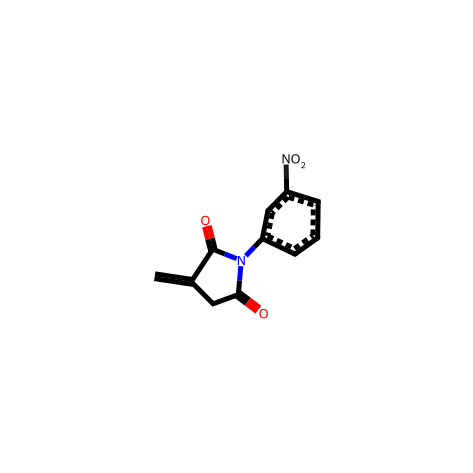 C=C1CC(=O)N(c2cccc([N+](=O)[O-])c2)C1=O